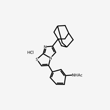 CC(=O)Nc1cccc(-c2csc3nc(C45CC6CC(CC(C6)C4)C5)cn23)c1.Cl